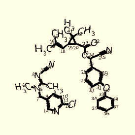 C/C(=N\C#N)N(C)Cc1ccc(Cl)nc1.CC(C)=CC1C(C(=O)OC(C#N)c2cccc(Oc3ccccc3)c2)C1(C)C